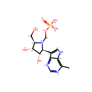 Cc1ncnc2c([C@H]3[C@H](O)[C@H](O)[C@@H](CO)N3COP(=O)(O)O)c[nH]c12